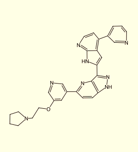 c1cncc(-c2ccnc3[nH]c(-c4n[nH]c5ccc(-c6cncc(OCCN7CCCC7)c6)nc45)cc23)c1